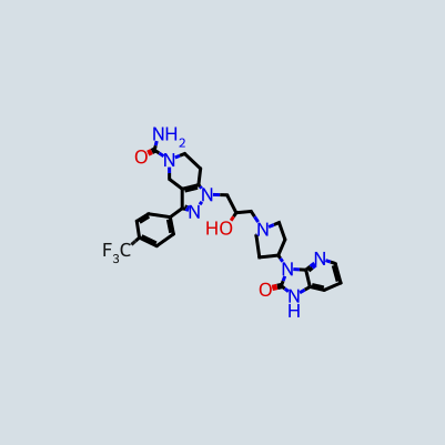 NC(=O)N1CCc2c(c(-c3ccc(C(F)(F)F)cc3)nn2CC(O)CN2CCC(n3c(=O)[nH]c4cccnc43)CC2)C1